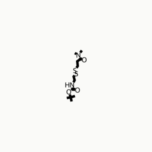 CN(C)C(=O)CCSSCCNC(=O)OC(C)(C)C